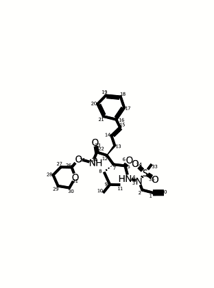 C#CCN(NC(=O)[C@H](CC(C)C)[C@H](CC=Cc1ccccc1)C(=O)NOC1CCCCO1)S(C)(=O)=O